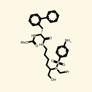 COC(=O)N[C@H](Cc1ccccc1-c1ccccc1)C(=O)NCCCCC(CO)N(CC(C)C)S(=O)(=O)c1ccc(N)cc1